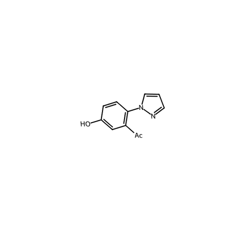 CC(=O)c1cc(O)ccc1-n1cccn1